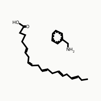 CCC=CCC=CCC=CC/C=C\C/C=C/CCCC(=O)O.NCc1ccccc1